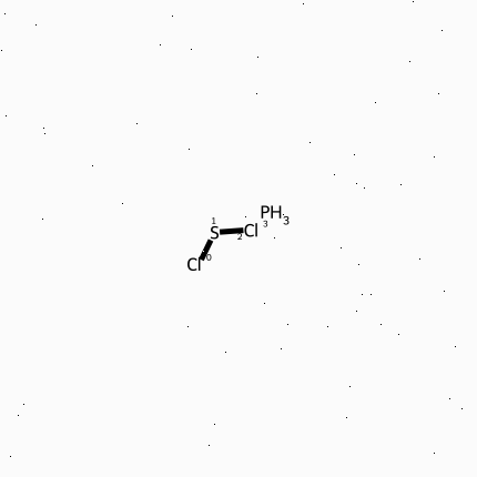 ClSCl.P